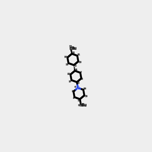 CCCCC1CCN(C2CCC([C@H]3CC[C@H](CCCC)CC3)CC2)CC1